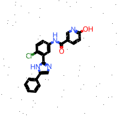 O=C(Nc1ccc(Cl)c(-c2ncc(-c3ccccc3)[nH]2)c1)c1ccc(O)nc1